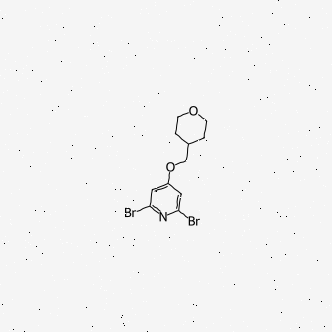 Brc1cc(OCC2CCOCC2)cc(Br)n1